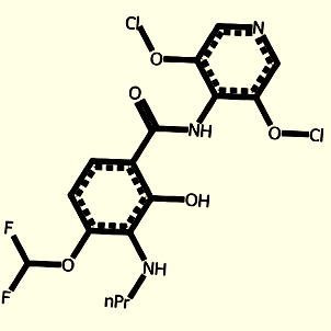 CCCNc1c(OC(F)F)ccc(C(=O)Nc2c(OCl)cncc2OCl)c1O